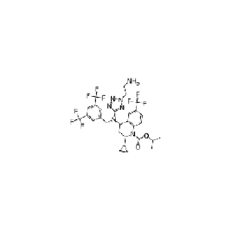 CC(C)OC(=O)N1c2ccc(C(F)(F)F)cc2C(N(Cc2cc(C(F)(F)F)cc(C(F)(F)F)c2)c2nnn(CCN)n2)CC1C1CC1